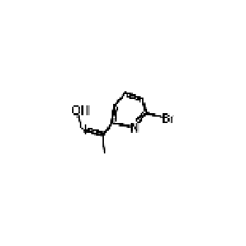 C/C(=N/O)c1cccc(Br)n1